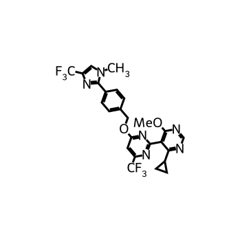 COc1ncnc(C2CC2)c1-c1nc(OCc2ccc(-c3nc(C(F)(F)F)cn3C)cc2)cc(C(F)(F)F)n1